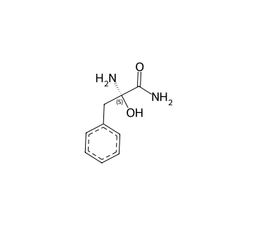 NC(=O)[C@@](N)(O)Cc1ccccc1